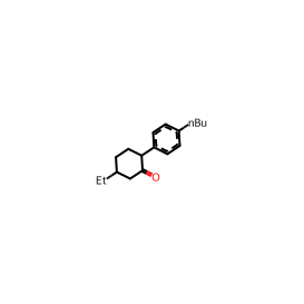 CCCCc1ccc(C2CCC(CC)CC2=O)cc1